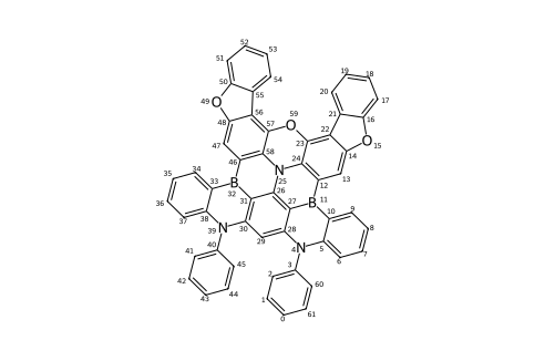 c1ccc(N2c3ccccc3B3c4cc5oc6ccccc6c5c5c4N4c6c3c2cc2c6B(c3ccccc3N2c2ccccc2)c2cc3oc6ccccc6c3c(c24)O5)cc1